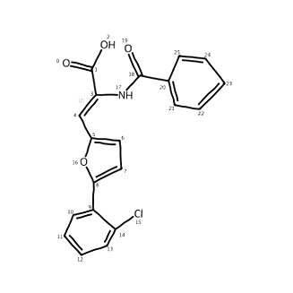 O=C(O)/C(=C/c1ccc(-c2ccccc2Cl)o1)NC(=O)c1ccccc1